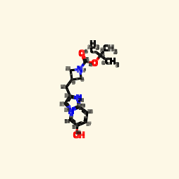 CC(C)(C)OC(=O)N1CC(Cc2cn3cc(O)ccc3n2)C1